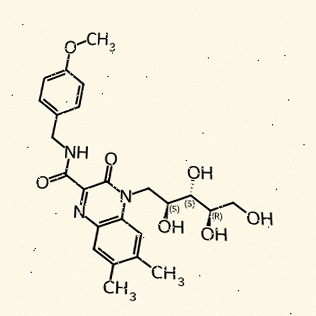 COc1ccc(CNC(=O)c2nc3cc(C)c(C)cc3n(C[C@H](O)[C@H](O)[C@H](O)CO)c2=O)cc1